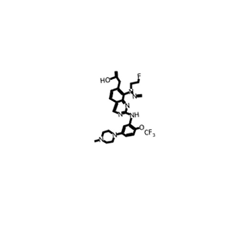 C=NN(CCF)c1c(CC(=C)O)ccc2cnc(Nc3cc(N4CCN(C)CC4)ccc3OC(F)(F)F)nc12